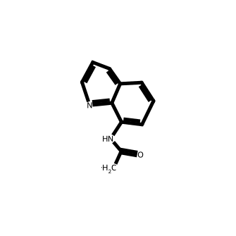 [CH2]C(=O)Nc1cccc2cccnc12